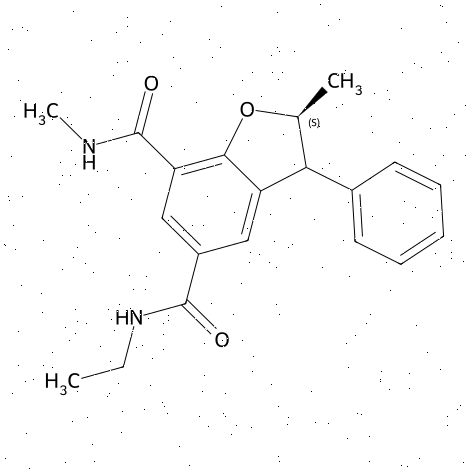 CCNC(=O)c1cc(C(=O)NC)c2c(c1)C(c1ccccc1)[C@H](C)O2